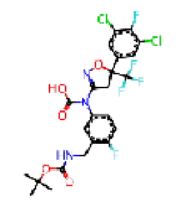 CC(C)(C)OC(=O)NCc1cc(N(C(=O)O)C2=NOC(c3cc(Cl)c(F)c(Cl)c3)(C(F)(F)F)C2)ccc1F